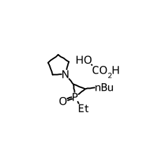 CCCCC1C(N2CCCC2)P1(=O)CC.O=C(O)O